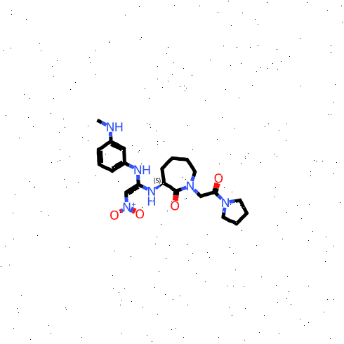 CNc1cccc(NC(=C[N+](=O)[O-])N[C@H]2CCCCN(CC(=O)N3CCCC3)C2=O)c1